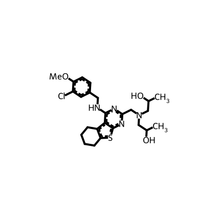 COc1ccc(CNc2nc(CN(CC(C)O)CC(C)O)nc3sc4c(c23)CCCC4)cc1Cl